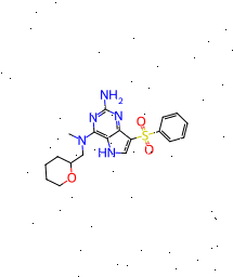 CN(CC1CCCCO1)c1nc(N)nc2c(S(=O)(=O)c3ccccc3)c[nH]c12